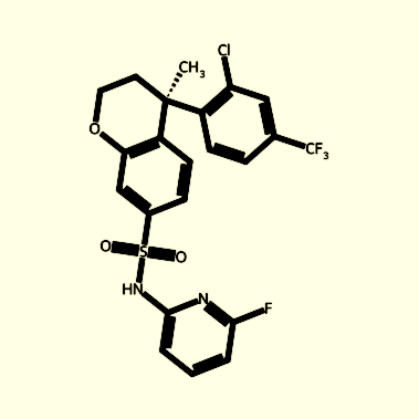 C[C@@]1(c2ccc(C(F)(F)F)cc2Cl)CCOc2cc(S(=O)(=O)Nc3cccc(F)n3)ccc21